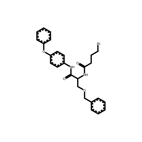 CC(=O)CCCC(=O)NC(COCc1ccccc1)C(=O)Nc1ccc(Oc2ccccc2)cc1